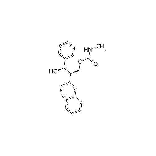 CNC(=O)OC[C@@H](c1ccc2ccccc2c1)[C@@H](O)c1ccccc1